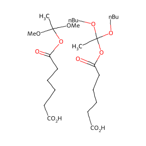 CCCCOC(C)(OCCCC)OC(=O)CCCCC(=O)O.COC(C)(OC)OC(=O)CCCCC(=O)O